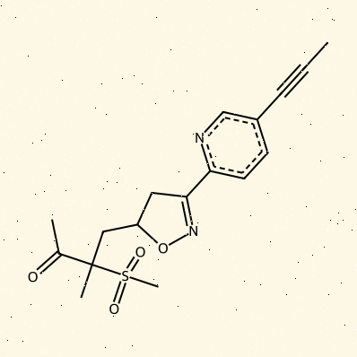 CC#Cc1ccc(C2=NOC(CC(C)(C(C)=O)S(C)(=O)=O)C2)nc1